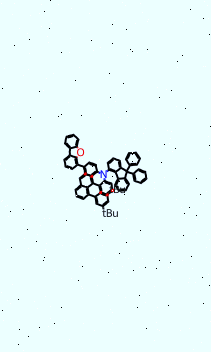 CC(C)(C)c1cc(-c2cccc3cccc(-c4ccccc4N(c4ccc(-c5cccc6c5oc5ccccc56)cc4)c4cccc5c4-c4ccccc4C5(c4ccccc4)c4ccccc4)c23)cc(C(C)(C)C)c1